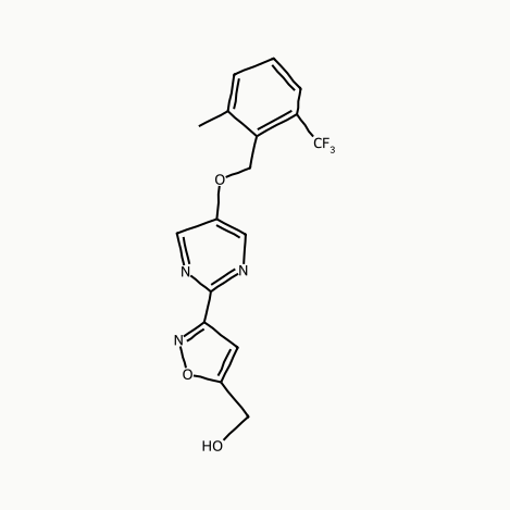 Cc1cccc(C(F)(F)F)c1COc1cnc(-c2cc(CO)on2)nc1